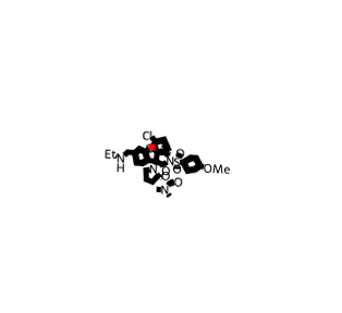 CCNCc1ccc(C2(N3CCC[C@@H]3OC(=O)N(C)C)C(=O)N(S(=O)(=O)c3ccc(OC)cc3)c3ccc(Cl)cc32)c(OC)c1